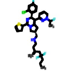 C=C(CCNC[C@H]1CC2=C(C3=NN(C(C)F)CC=C3)[C@H](c3ccc(F)cc3Cl)N=C(C3CC=CS3)N2C1)CC(F)(F)CCC